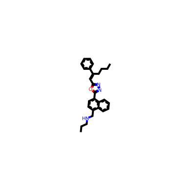 CCCC/C(=C\c1nnc(-c2ccc(CNCCC)c3ccccc23)o1)c1ccccc1